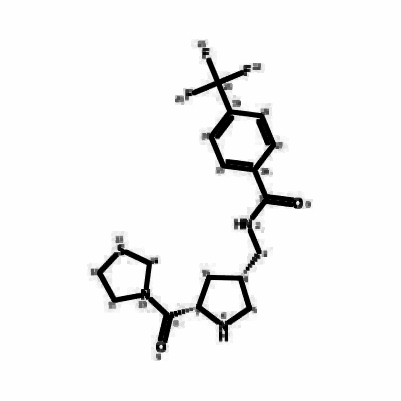 O=C(NC[C@@H]1CN[C@H](C(=O)N2CCSC2)C1)c1ccc(C(F)(F)F)cc1